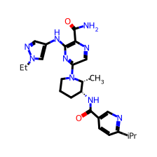 CCn1cc(Nc2nc(N3CCC[C@@H](NC(=O)c4ccc(C(C)C)nc4)[C@H]3C)cnc2C(N)=O)cn1